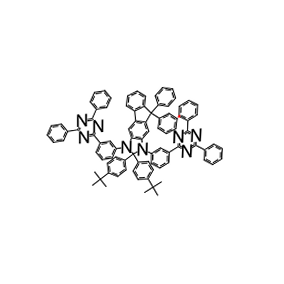 CC(C)(C)c1ccc(C2(c3ccc(C(C)(C)C)cc3)N(c3cccc(-c4nc(-c5ccccc5)nc(-c5ccccc5)n4)c3)c3cc4c(cc3N2c2cccc(-c3nc(-c5ccccc5)nc(-c5ccccc5)n3)c2)C(c2ccccc2)(c2ccccc2)c2ccccc2-4)cc1